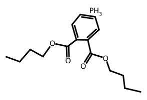 CCCCOC(=O)c1ccccc1C(=O)OCCCC.P